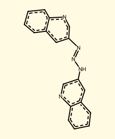 c1ccc2ncc(N=NNc3cnc4ccccc4c3)cc2c1